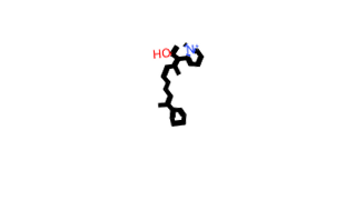 C=C(O)/C(=C(C)\C=C/CC/C=C(\C)c1ccccc1)c1cccc[n+]1C